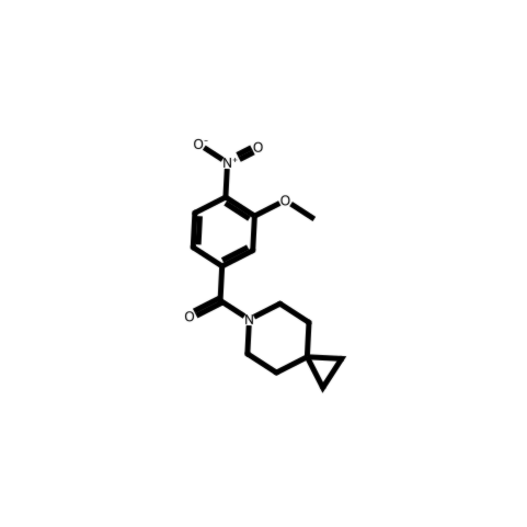 COc1cc(C(=O)N2CCC3(CC2)CC3)ccc1[N+](=O)[O-]